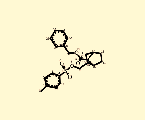 Cc1ccc(S(=O)(=O)OCC2CC3CCC2N3C(=O)OCc2ccccc2)cc1